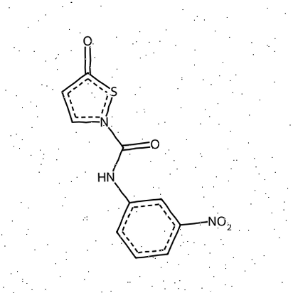 O=C(Nc1cccc([N+](=O)[O-])c1)n1ccc(=O)s1